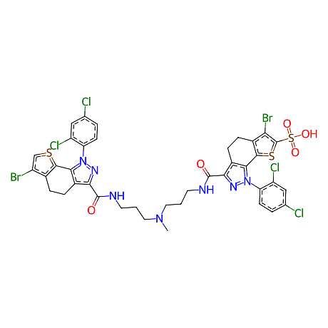 CN(CCCNC(=O)c1nn(-c2ccc(Cl)cc2Cl)c2c1CCc1c(Br)csc1-2)CCCNC(=O)c1nn(-c2ccc(Cl)cc2Cl)c2c1CCc1c-2sc(S(=O)(=O)O)c1Br